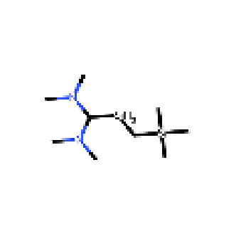 CN(C)C([SiH2]C[Si](C)(C)C)N(C)C